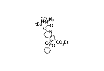 CCOC(=O)c1cc2nc(OC(=O)N(N(C(=O)O)C(C)(C)C)C(C)(C)C)ccc2n1S(=O)(=O)c1ccccc1